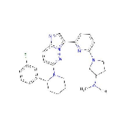 CN(C)C1CCN(c2cccc(-c3cnc4ccc(N5CCCCC5c5cccc(F)c5)nn34)n2)C1